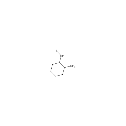 NC1CCCCC1NI